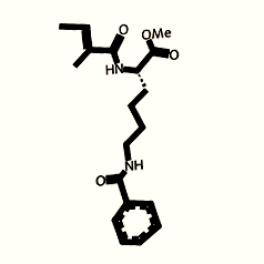 C/C=C(\C)C(=O)N[C@@H](CCCCNC(=O)c1ccccc1)C(=O)OC